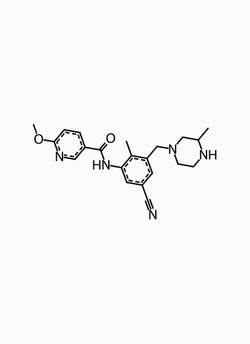 COc1ccc(C(=O)Nc2cc(C#N)cc(CN3CCNC(C)C3)c2C)cn1